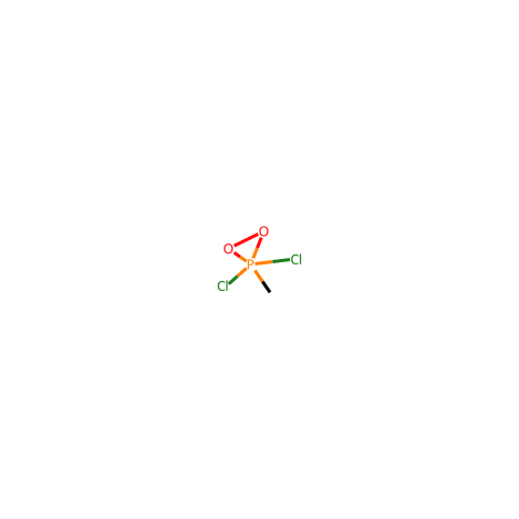 CP1(Cl)(Cl)OO1